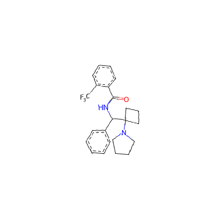 O=C(NC(c1ccccc1)C1(N2CCCC2)CCC1)c1ccccc1C(F)(F)F